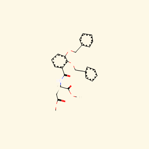 COC(=O)C[C@@H](NC(=O)c1cccc(OCc2ccccc2)c1OCc1ccccc1)C(=O)OC